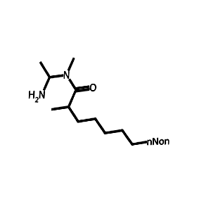 CCCCCCCCCCCCCCC(C)C(=O)N(C)C(C)N